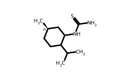 CC(C)C1CC[C@@H](C)CC1NC(N)=S